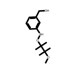 COC(C)(C)C(C)(C)OBc1cccc(CO)c1